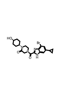 O=C(c1nc2c(Br)cc(C3CC3)cc2[nH]1)N1CCN([C@H]2CC[C@H](O)CC2)C(=O)C1